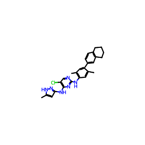 Cc1cc(Nc2nc(Nc3cc(C)c(-c4ccc5c(c4)CCCC5)cc3C)ncc2Cl)n[nH]1